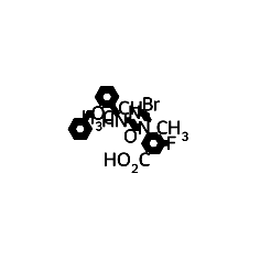 Cc1c(F)cc(C(=O)O)cc1-n1cc(Br)nc(NC(C)(C)c2ccccc2OCc2ccccc2)c1=O